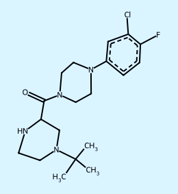 CC(C)(C)N1CCNC(C(=O)N2CCN(c3ccc(F)c(Cl)c3)CC2)C1